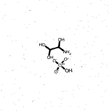 NC(O)C(O)O.[O-][Cl+3]([O-])([O-])O